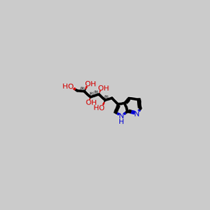 OC[C@@H](O)[C@@H](O)[C@H](O)[C@H](O)Cc1c[nH]c2ncccc12